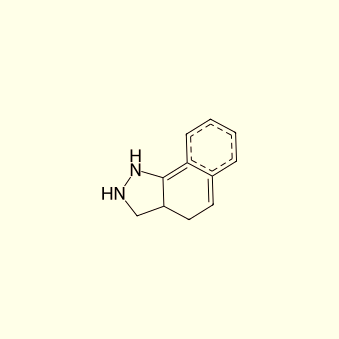 C1=c2ccccc2=C2NNCC2C1